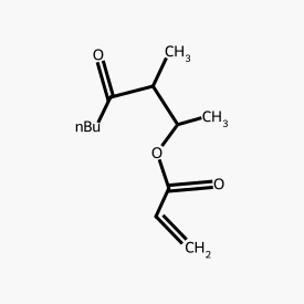 C=CC(=O)OC(C)C(C)C(=O)CCCC